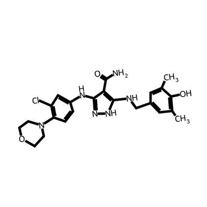 Cc1cc(CNc2[nH]nc(Nc3ccc(N4CCOCC4)c(Cl)c3)c2C(N)=O)cc(C)c1O